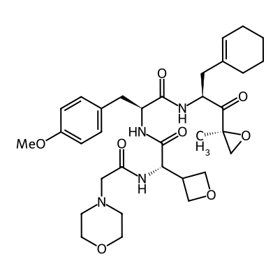 COc1ccc(C[C@H](NC(=O)[C@@H](NC(=O)CN2CCOCC2)C2COC2)C(=O)N[C@@H](CC2=CCCCC2)C(=O)[C@]2(C)CO2)cc1